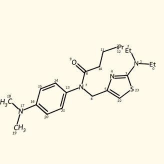 CCN(CC)c1nc(CN(C(=O)CCC(C)C)c2ccc(N(C)C)cc2)cs1